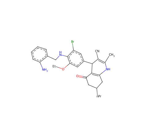 CCCC1CC(=O)C2=C(C1)NC(C)=C(C#N)C2c1cc(Br)c(NCc2ccccc2N)c(OCC)c1